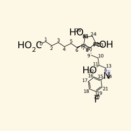 O=C(O)CCCCCC[C@@H]1[C@@H](CCC(O)/C=N\c2cccc(F)c2)[C@H](O)C[C@@H]1O